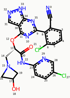 N#Cc1cccc(Cl)c1-c1nc(O[C@@H](CN2CC(O)C2)C(=O)Nc2ccc(Cl)cn2)c2cn[nH]c2n1